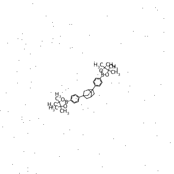 CC1(C)OB(c2ccc(C34CC5CC(C3)C(c3ccc(B6OC(C)(C)C(C)(C)O6)cc3)(C5)C4)cc2)OC1(C)C